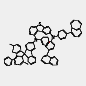 Cc1ccccc1C1(C2=C(Cc3ccccc3)CC(C)C=C2)c2ccccc2-c2cc(N(c3ccccc3)c3cccc4sc5ccc(N(c6ccc(C7=CC=CC8=CC7C=CC=C8)cc6)c6ccc(-c7cccc8ccccc78)cc6)cc5c34)ccc21